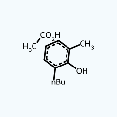 CC(=O)O.CCCCc1cccc(C)c1O